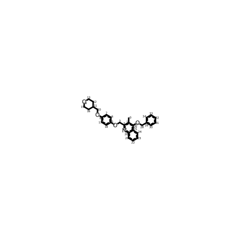 Cc1c(COc2ccc(OCC3CCOCC3)cc2)nc2ccccc2c1OCc1ccccc1